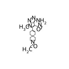 C=CC(=O)N1CCC2(CC=C(c3c(-c4ncco4)c4c(N)ncnc4n3C)CC2)CC1